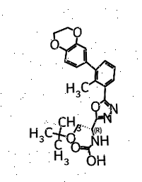 Cc1c(-c2ccc3c(c2)OCCO3)cccc1-c1nnc([C@@H](COC(C)(C)C)NC(=O)O)o1